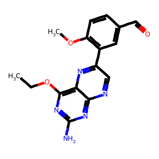 CCOc1nc(N)nc2ncc(-c3cc(C=O)ccc3OC)nc12